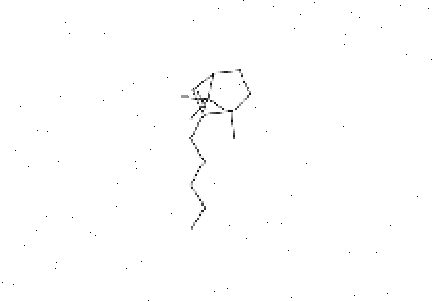 CCCCCC1=CC2CCC1(C)C2(C)C